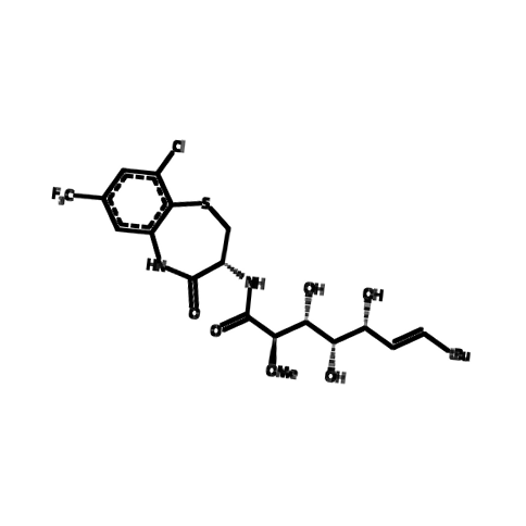 CO[C@@H](C(=O)N[C@H]1CSc2c(Cl)cc(C(F)(F)F)cc2NC1=O)[C@H](O)[C@@H](O)[C@H](O)C=CC(C)(C)C